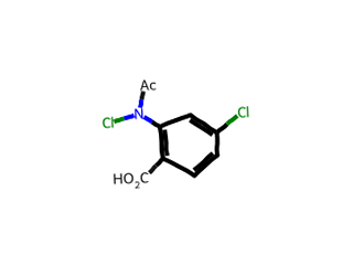 CC(=O)N(Cl)c1cc(Cl)ccc1C(=O)O